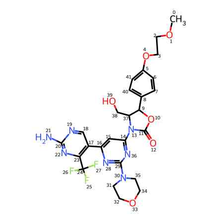 COCCOc1ccc(C2OC(=O)N(c3cc(-c4cnc(N)nc4C(F)(F)F)nc(N4CCOCC4)n3)C2CO)cc1